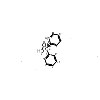 O=CO.c1ccc(Oc2ccccn2)cc1